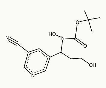 CC(C)(C)OC(=O)N(O)C(CCO)c1cncc(C#N)c1